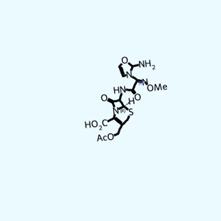 CO/N=C(\C(=O)NC1C(=O)N2C(C(=O)O)=C(COC(C)=O)CS[C@H]12)N1C=COC1N